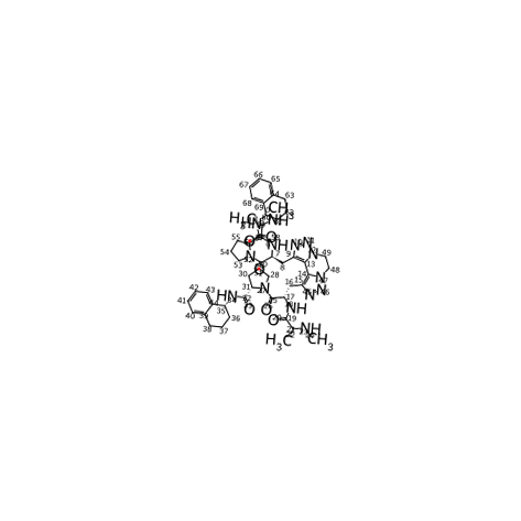 CN[C@@H](C)C(=O)N[C@@H](Cc1nnn2c1-c1c(C[C@H](NC(=O)[C@H](C)NC)C(=O)N3CCC[C@H]3C(=O)N[C@@H]3CCCc4ccccc43)nnn1CC2)C(=O)N1CCC[C@H]1C(=O)N[C@@H]1CCCc2ccccc21